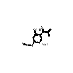 C=C(C)C(=O)c1ccc(N=[N+]=[N-])cc1S(=O)(=O)O.[NaH]